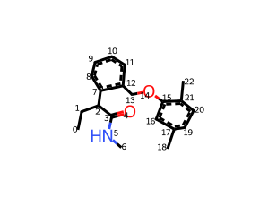 CCC(C(=O)NC)c1ccccc1COc1cc(C)ccc1C